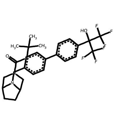 CC(C)(C)OC(=O)N1CC2CCC(C1)N2Cc1ccc(-c2ccc(C(O)(C(F)(F)F)C(F)(F)F)cc2)cc1